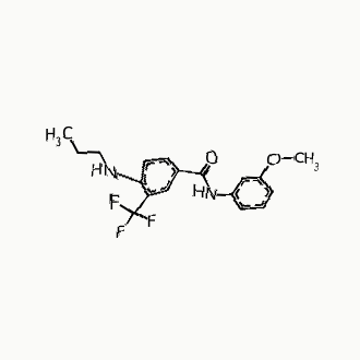 CCCNc1ccc(C(=O)Nc2cccc(OC)c2)cc1C(F)(F)F